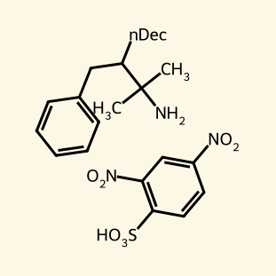 CCCCCCCCCCC(Cc1ccccc1)C(C)(C)N.O=[N+]([O-])c1ccc(S(=O)(=O)O)c([N+](=O)[O-])c1